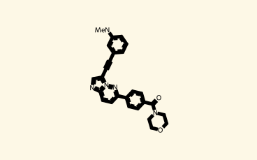 CNc1cccc(C#Cc2cnc3ccc(-c4ccc(C(=O)N5CCOCC5)cc4)nn23)c1